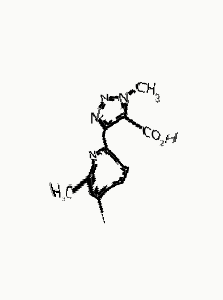 Cc1nc(-c2nnn(C)c2C(=O)O)ccc1I